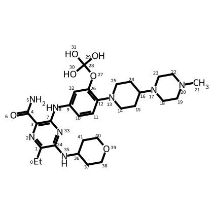 CCc1nc(C(N)=O)c(Nc2ccc(N3CCC(N4CCN(C)CC4)CC3)c(OC(O)(O)O)c2)nc1NC1CCOCC1